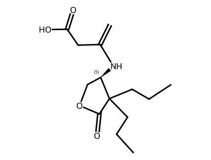 C=C(CC(=O)O)N[C@@H]1COC(=O)C1(CCC)CCC